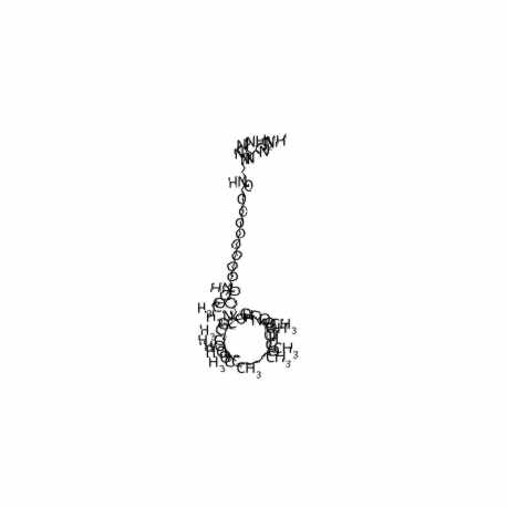 CO[C@H]1C[C@@H]2CC[C@@H](C)[C@@](O)(O2)C(=O)C(=O)N2CCCC[C@H]2C(=O)O[C@H]([C@H](N)C[C@@H]2CC[C@@H](OC(=O)NCCOCCOCCOCCOCCOCCOCCOCCOCCC(=O)NCCCCn3nc(-c4cnc5[nH]ccc5c4)c4c(N)ncnc43)[C@H](OC)C2)CC(=O)[C@H](C)/C=C(\C)[C@@H](O)[C@@H](O)C(=O)[C@H](C)C[C@H](C)/C=C/C=C/C=C/1C